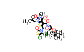 CC(C)Cn1c(=O)n(C)c(=O)c2c(C(=O)N3CC(O[Si](C)(C)C(C)(C)C)CO3)c(Cn3c(Cl)c(Cl)sc3=O)sc21